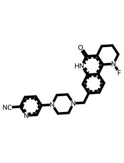 N#Cc1ccc(N2CCN(Cc3ccc4c5c(c(=O)[nH]c4c3)CCCN5F)CC2)cn1